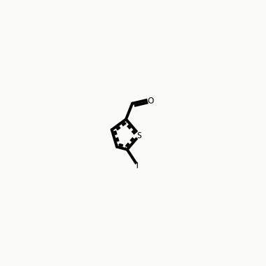 O=Cc1ccc(I)s1